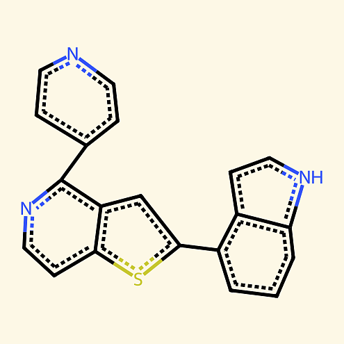 c1cc(-c2cc3c(-c4ccncc4)nccc3s2)c2cc[nH]c2c1